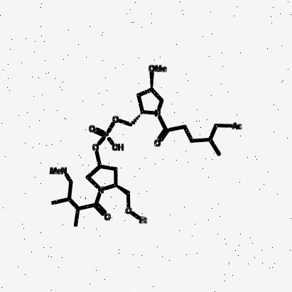 CCOC[C@@H]1CC(OP(=O)(O)OC[C@@H]2C[C@@H](OC)CN2C(=O)CCC(C)CC(C)=O)CN1C(=O)C(C)C(C)CNC